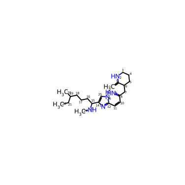 C=C1NCCCC1CC(=N)/C=C\c1nc(C(CCCC(C)CC)NC)c[nH]1